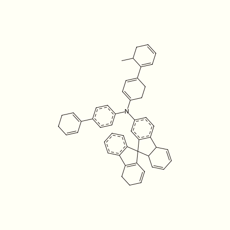 CC1CC=CC=C1C1=CC=C(N(c2ccc(C3=CCCC=C3)cc2)c2ccc3c(c2)C2(C4=C(CCC=C4)c4ccccc42)C2C=CC=CC32)CC1